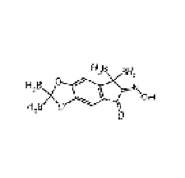 BC1(B)Oc2cc3c(cc2O1)C(B)(B)/C(=N/O)C3=O